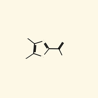 OC(=S)c1nc(Cl)c(Cl)[nH]1